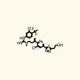 C=C(CCN(C)C(=N)Nc1ccc(C(C)(F)F)c(Cl)c1)C(=N/C)/C(Cl)=C\C(=C)c1nnc(CCO)s1